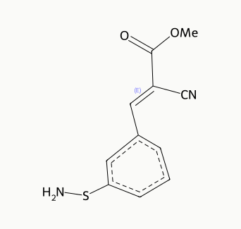 COC(=O)/C(C#N)=C/c1cccc(SN)c1